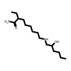 CCCCC(O)CNCCCCCCC(CC)C(N)=O